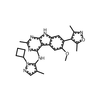 COc1cc2c(cc1-c1c(C)noc1C)[nH]c1nc(C)nc(Nc3c(C)cnn3C3CCC3)c12